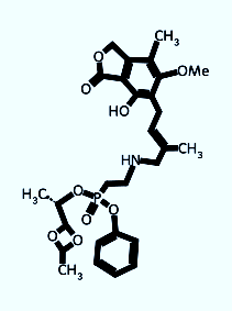 COc1c(C)c2c(c(O)c1C/C=C(\C)CNCCP(=O)(Oc1ccccc1)O[C@@H](C)C1OC(C)O1)C(=O)OC2